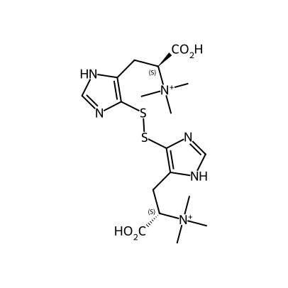 C[N+](C)(C)[C@@H](Cc1[nH]cnc1SSc1nc[nH]c1C[C@@H](C(=O)O)[N+](C)(C)C)C(=O)O